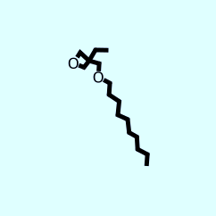 CCCCCCCCCCOCC1(CC)COC1